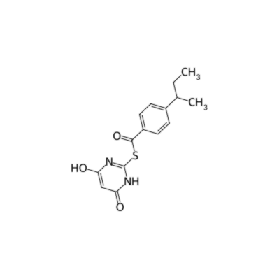 CCC(C)c1ccc(C(=O)Sc2nc(O)cc(=O)[nH]2)cc1